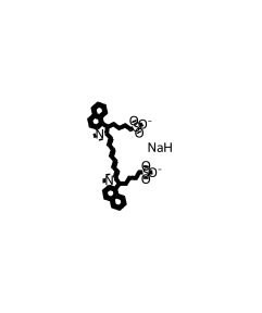 C[N+]1(C)C(=CC=CC=CC=CC2C(CCCCS(=O)(=O)[O-])c3c(ccc4ccccc34)[N+]2(C)C)C(CCCCS(=O)(=O)[O-])c2c1ccc1ccccc21.[NaH]